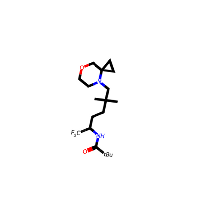 CC(C)(CCC(NC(=O)C(C)(C)C)C(F)(F)F)CN1CCOCC12CC2